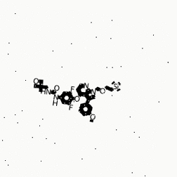 COc1cccc(-c2cn(COCC[Si](C)(C)C)c3nccc(Oc4c(F)cc(NC(=O)NCC5(C)COC5)cc4F)c23)c1